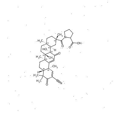 CC1(C)C(=O)C(C#N)=C[C@]2(C)C3=CC(=O)[C@]4(O)[C@@H]5C[C@@](C)(C(=O)N6CCCC6C(=O)O)CC[C@]5(C)CC[C@@]4(C)[C@]3(C)CC[C@@H]12